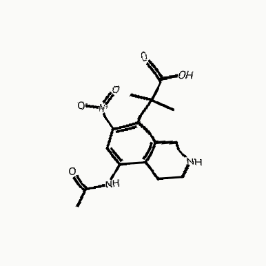 CC(=O)Nc1cc([N+](=O)[O-])c(C(C)(C)C(=O)O)c2c1CCNC2